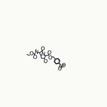 CCOC(=O)N(C)C1C(=O)N2C(C(=O)OCc3ccc([N+](=O)[O-])cc3)C(=O)CC12